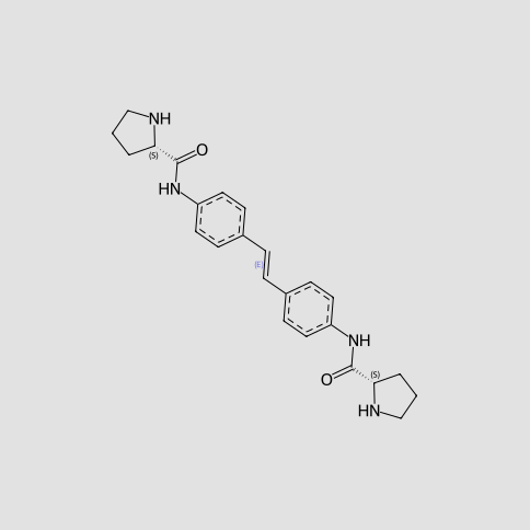 O=C(Nc1ccc(/C=C/c2ccc(NC(=O)[C@@H]3CCCN3)cc2)cc1)[C@@H]1CCCN1